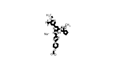 CCOc1ncc(-c2cc(N(C)CC3(COC)CCCC3)c3[nH]c(-c4cnc(N5CCC(OCC(=O)[O-])CC5)cn4)nc3n2)cc1C(F)(F)F.[Na+]